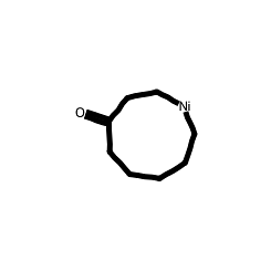 O=C1CCCC[CH2][Ni][CH2]C1